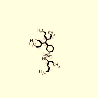 C=C/C=C(\C=C/C)C(/C(/C=C\C)=C/C)=C1\CCCN(S(=O)(=O)N/C(C=C)=C/C=C\C)C1